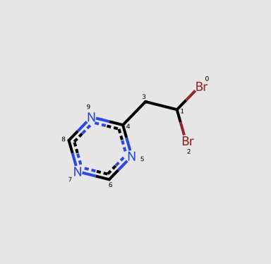 BrC(Br)Cc1ncncn1